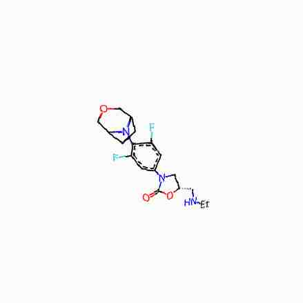 CCNC[C@H]1CN(c2cc(F)c(N3C4CCC3COC4)c(F)c2)C(=O)O1